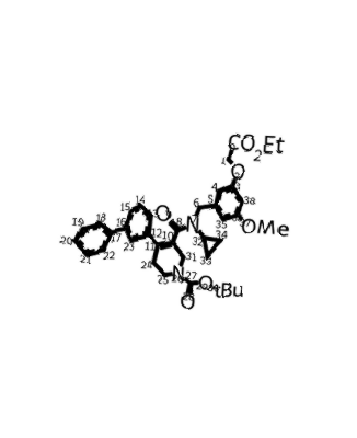 CCOC(=O)COc1cc(CN(C(=O)C2=C(c3cccc(-c4ccccc4)c3)CCN(C(=O)OC(C)(C)C)C2)C2CC2)cc(OC)c1